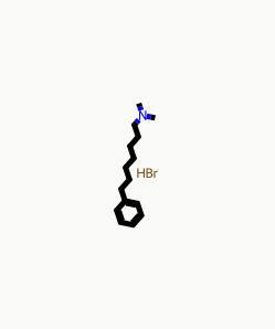 Br.CN(C)CCCCCCCc1ccccc1